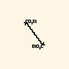 CCOC(=O)C(C)(C)CCCCCC/C=C/CCCCCCC(C)(C)C(=O)OCC